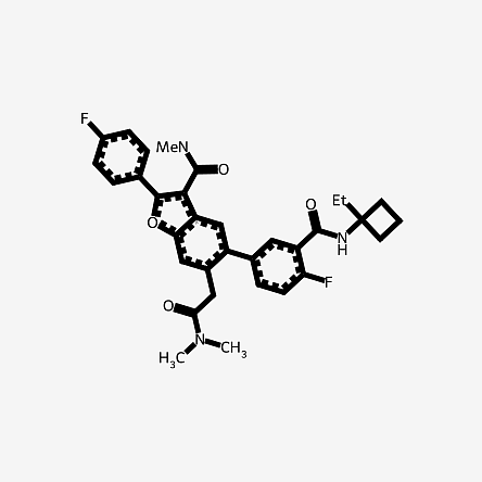 CCC1(NC(=O)c2cc(-c3cc4c(C(=O)NC)c(-c5ccc(F)cc5)oc4cc3CC(=O)N(C)C)ccc2F)CCC1